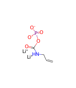 C=CCNC(=O)OP(=O)([O-])[O-].[Li+].[Li+]